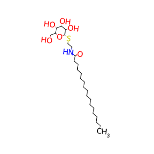 CCCCCCCCCCCCCCCCCC(=O)NCCS[C@@H]1OC(CO)[C@H](O)[C@H](O)C1O